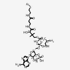 CC(=O)SCCNC(=O)CCNC(=O)[C@H](O)C(C)(C)COP(=O)(O)OP(=O)(O)OC[C@H]1O[C@@H](n2cnc3c(N)ncnc32)[C@H](O)[C@@H]1OP(=O)(O)O.CC(C)C[C@H](N)C(=O)O